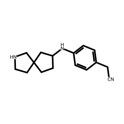 N#CCc1ccc(NC2CCC3(CCNC3)C2)cc1